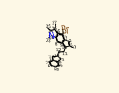 CC1=Cc2c(Br)c3c(cc2=C1CCC1=Cc2ccccc2C1)N(C)C(C)C=3C